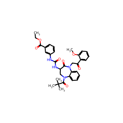 CCOC(=O)c1cccc(NC(=O)NC2CN(C(=O)C(C)(C)C)c3ccccc3N(CC(=O)c3ccccc3OC)C2=O)c1